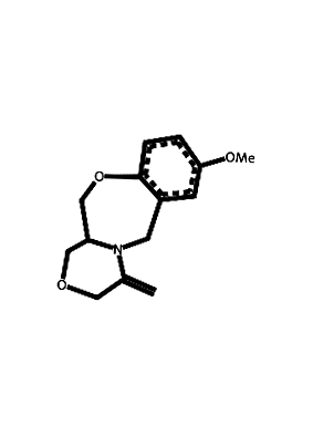 C=C1COCC2COc3ccc(OC)cc3CN12